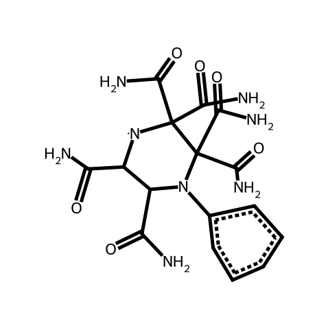 NC(=O)C1[N]C(C(N)=O)(C(N)=O)C(C(N)=O)(C(N)=O)N(c2ccccc2)C1C(N)=O